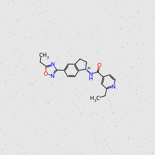 CCc1cc(C(=O)N[C@@H]2CCc3cc(-c4noc(CC)n4)ccc32)ccn1